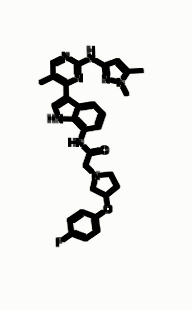 Cc1cnc(Nc2cc(C)n(C)n2)nc1-c1c[nH]c2c(NC(=O)CN3CCC(Oc4ccc(F)cc4)C3)cccc12